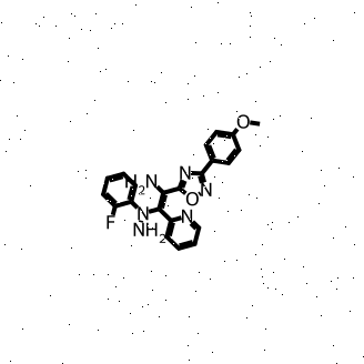 COc1ccc(-c2noc(/C(N)=C(\c3ccccn3)N(N)c3ccccc3F)n2)cc1